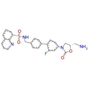 NC[C@H]1CN(c2ccc(-c3ccc(CNS(=O)(=O)c4cccc5cccnc45)cc3)c(F)c2)C(=O)O1